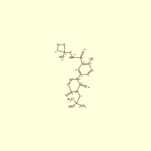 CC(C)(O)Cn1c(=O)cnn(-c2ccc(Cl)c(C(=O)NCC3(O)CCC3)c2)c1=O